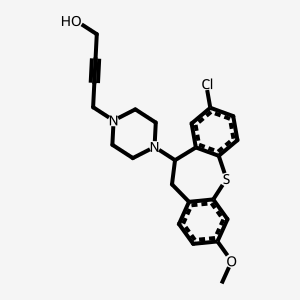 COc1ccc2c(c1)Sc1ccc(Cl)cc1C(N1CCN(CC#CCO)CC1)C2